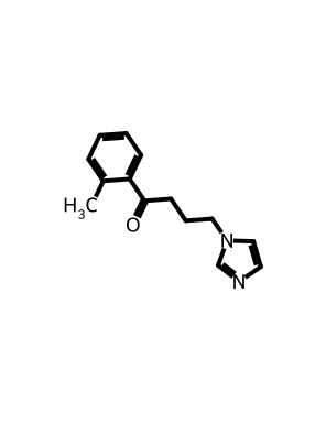 Cc1ccccc1C(=O)CCCn1ccnc1